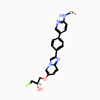 CNc1ccc(-c2ccc(-c3cn4cc(OC[C@H](O)CF)ccc4n3)cc2)cn1